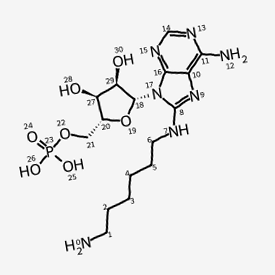 NCCCCCCNc1nc2c(N)ncnc2n1[C@@H]1O[C@H](COP(=O)(O)O)[C@@H](O)[C@H]1O